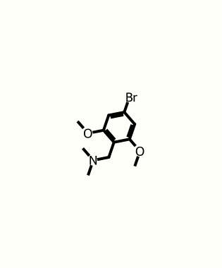 COc1cc(Br)cc(OC)c1CN(C)C